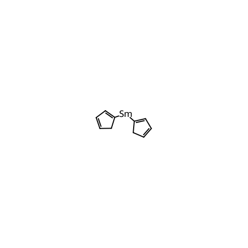 C1=CC[C]([Sm][C]2=CC=CC2)=C1